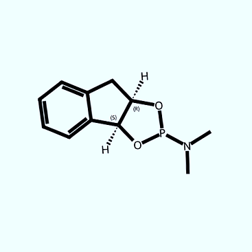 CN(C)P1O[C@@H]2Cc3ccccc3[C@@H]2O1